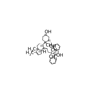 CC1=CC[C@H]2[C@H](CCC(C)(C)[Si](O)(c3ccccc3)c3ccccc3)[C@@H]([C@@]3(C)CC[C@H](O)C[C@@H]3CO)CC[C@]12C